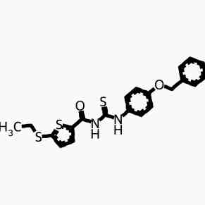 CCSc1ccc(C(=O)NC(=S)Nc2ccc(OCc3ccccc3)cc2)s1